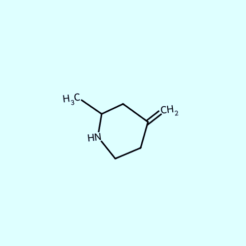 C=C1CCNC(C)C1